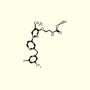 CCOC(=O)c1cn(-c2ccnc(Cc3cc(F)cc(C(F)(F)F)c3)c2)nc1OCCNC(=O)OC(C)(C)C